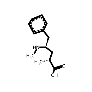 CN[C@@H](Cc1ccccc1)C[C@@H](C)C(=O)O